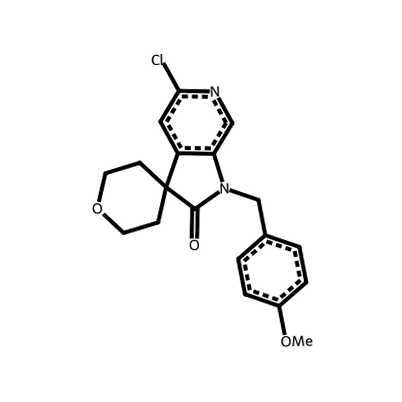 COc1ccc(CN2C(=O)C3(CCOCC3)c3cc(Cl)ncc32)cc1